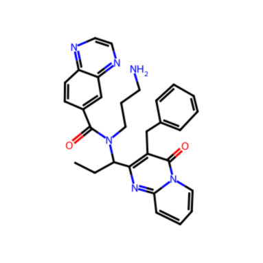 CCC(c1nc2ccccn2c(=O)c1Cc1ccccc1)N(CCCN)C(=O)c1ccc2nccnc2c1